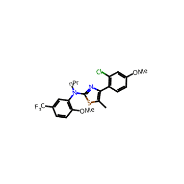 CCCN(c1nc(-c2ccc(OC)cc2Cl)c(C)s1)c1cc(C(F)(F)F)ccc1OC